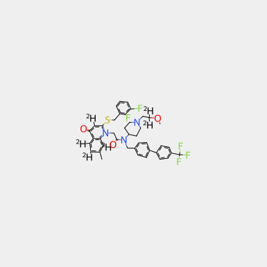 [2H]c1c(C)c([2H])c2c(c1[2H])c(=O)c([2H])c(SCc1cccc(F)c1F)n2CC(=O)N(Cc1ccc(-c2ccc(C(F)(F)F)cc2)cc1)C1CCN(CC([2H])([2H])OC)CC1